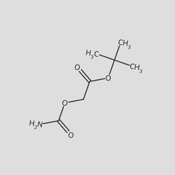 CC(C)(C)OC(=O)COC(N)=O